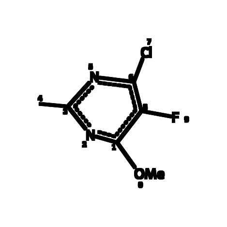 COc1nc(C)nc(Cl)c1F